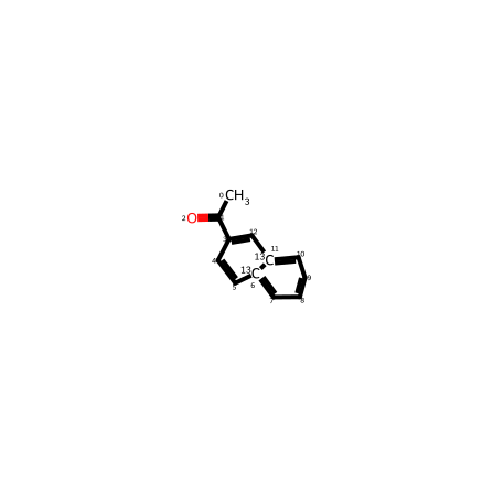 CC(=O)c1cc[13c]2cccc[13c]2c1